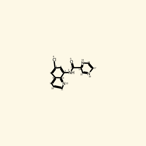 O=C(Nc1cc(Cl)cc2cccnc12)c1cnccn1